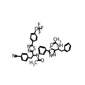 CC(=O)NC(Cc1ccccc1)c1nnc(-c2cccc(N(C(C)=O)C(Cc3ccc(C#N)cc3)c3nnc(-c4ccc(OC(F)(F)F)cc4)s3)c2)s1